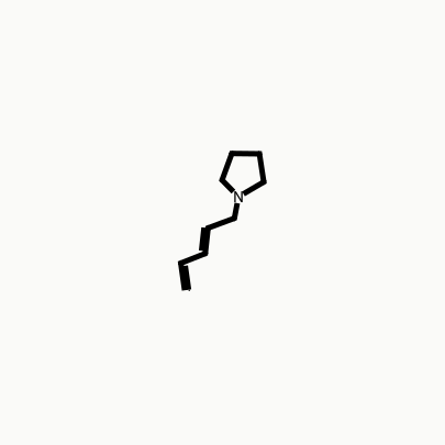 [CH]=CC=CCN1CCCC1